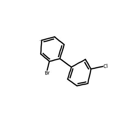 Clc1cccc(-c2cc[c]cc2Br)c1